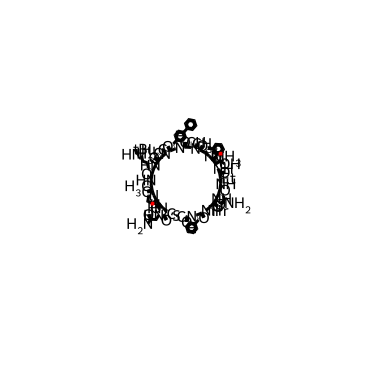 CC[C@@H]1NC(=O)[C@H](CC(N)=O)NC(=O)[C@H](C(C)C)NC(=O)[C@H](Cc2ccccc2)NC(=O)CSC[C@@H](C(=O)NCC(N)=O)NC(=O)[C@@H]2CCCN2C(=O)[C@H](C)NC(=O)[C@H](CCCCNC(C)(C)C)NC(=O)[C@H](C)N(C)C(=O)[C@H](Cc2ccc(-c3ccccc3)cc2)NC(=O)[C@H](C)N(C)C(=O)[C@H](Cc2ccccc2)NC(=O)[C@H]([C@@H](C)O)NC1=O